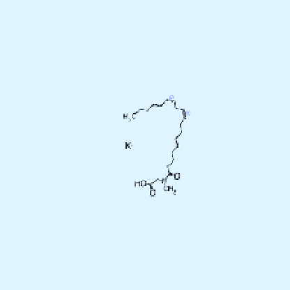 CCCCC/C=C\C/C=C\CCCCCCCC(=O)N(C)CC(=O)O.[K]